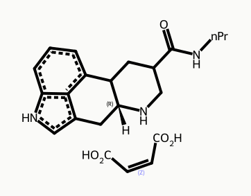 CCCNC(=O)C1CN[C@@H]2Cc3c[nH]c4cccc(c34)C2C1.O=C(O)/C=C\C(=O)O